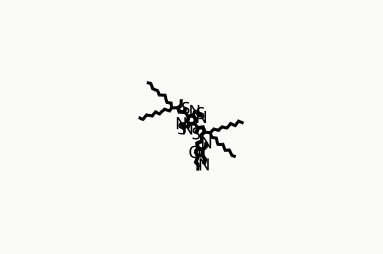 CCCCCCCCC(CCCCCCCC)c1cc(-c2c3c(c(-c4cc(C(CCCCCCCC)CCCCCCCC)c(-c5cc6oc7cc(C)ncc7c6cn5)s4)c4nsnc24)N=S=N3)sc1C